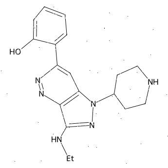 CCNc1nn(C2CCNCC2)c2cc(-c3ccccc3O)nnc12